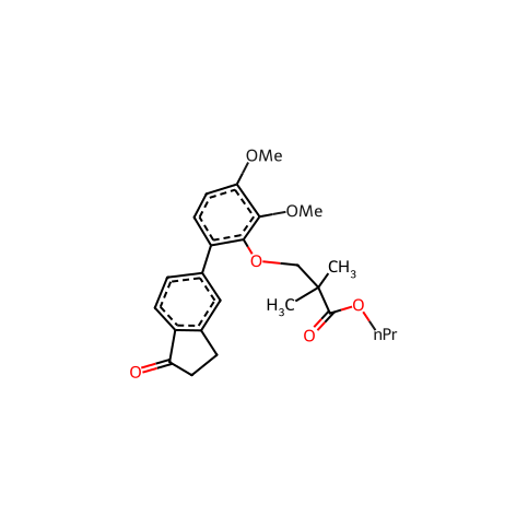 CCCOC(=O)C(C)(C)COc1c(-c2ccc3c(c2)CCC3=O)ccc(OC)c1OC